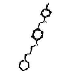 Clc1ccc(NCc2ccc(OCCCN3CCCCC3)cc2)cc1